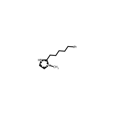 CC(C)CCCCCc1[nH]cc[n+]1C